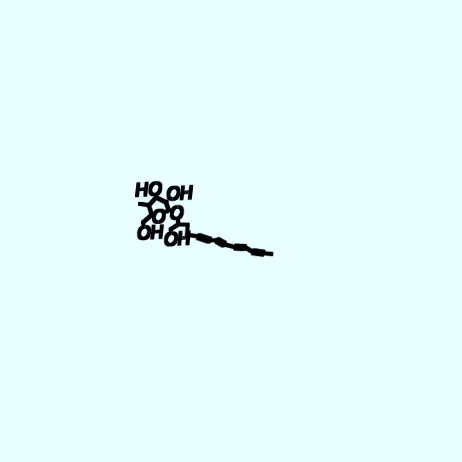 CC#CC#CC#CC#CCCC(CO)OC1OC(CO)C(C)C(O)C1O